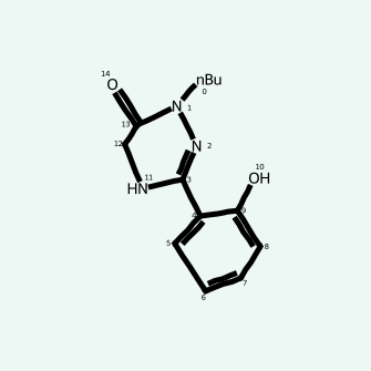 CCCCN1N=C(c2ccccc2O)NCC1=O